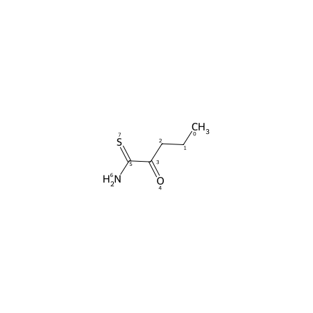 CCCC(=O)C(N)=S